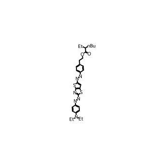 CCCCC(CC)C(=O)OCCc1ccc(N=Nc2cc3sc(N=Nc4ccc(N(CC)CC)cc4)nc3s2)cc1